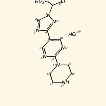 CCC(C(=O)O)n1nnc(-c2cnc(N3CCNCC3)nc2)n1.Cl